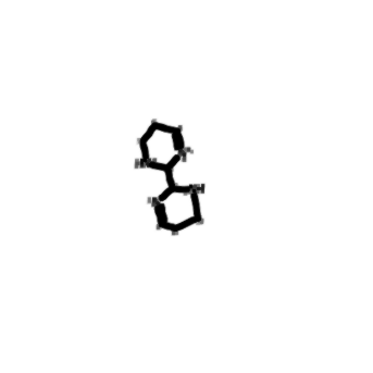 C1=NC(C2[N+]=CCCN2)NCC1